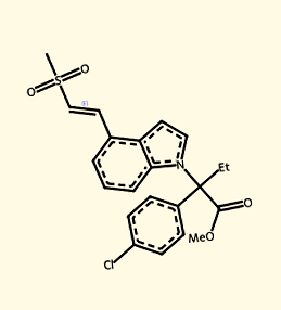 CCC(C(=O)OC)(c1ccc(Cl)cc1)n1ccc2c(/C=C/S(C)(=O)=O)cccc21